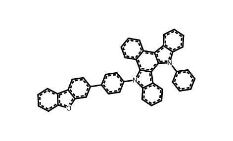 c1ccc(-n2c3ccccc3c3c4ccccc4c4c(c5ccccc5n4-c4ccc(-c5ccc6c(c5)oc5ccccc56)cc4)c32)cc1